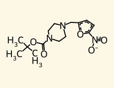 CC(C)(C)OC(=O)N1CCN(Cc2ccc([N+](=O)[O-])o2)CC1